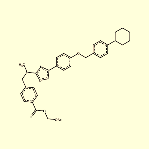 CC(=O)OCOC(=O)c1ccc(CN(C)c2nc(-c3ccc(OCc4ccc(C5CCCCC5)cc4)cc3)cs2)cc1